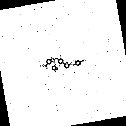 CC12CCC(Cn3c(Cc4cc(F)c(-c5cccc(OCc6ccc(C#N)cc6F)n5)cc4F)nc4ccc(C(=O)O)cc43)(C1)OC2